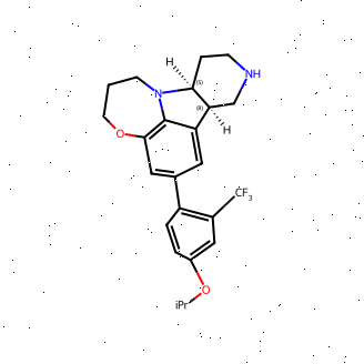 CC(C)Oc1ccc(-c2cc3c4c(c2)[C@@H]2CNCC[C@@H]2N4CCCO3)c(C(F)(F)F)c1